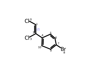 Cl/C=C(\Cl)c1ccc(Br)cc1